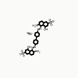 Nc1ccc2cc(S(=O)(=O)[O-])cc(O)c2c1N=Nc1ccc(-c2ccc(N=Nc3c(N)ccc4cc(S(=O)(=O)[O-])cc(O)c34)cc2)cc1.[Na+].[Na+]